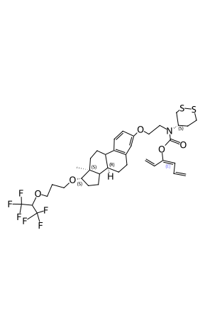 C=C/C=C(\C=C)OC(=O)N(CCOc1ccc2c(c1)CC[C@@H]1C2CC[C@@]2(C)C1CC[C@@H]2OCCCOC(C(F)(F)F)C(F)(F)F)[C@H]1CCSSC1